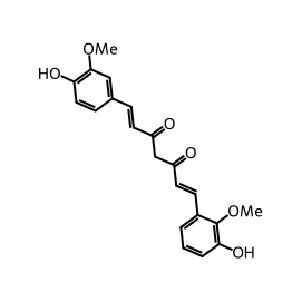 COc1cc(C=CC(=O)CC(=O)C=Cc2cccc(O)c2OC)ccc1O